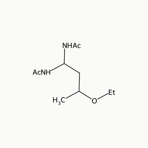 CCOC(C)CC(NC(C)=O)NC(C)=O